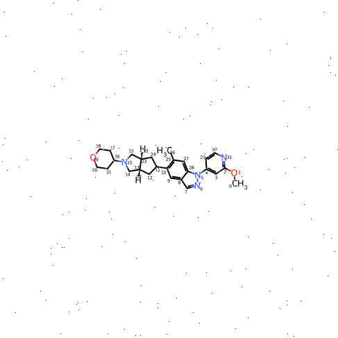 COc1cc(-n2ncc3cc(C4C[C@@H]5CN(C6CCOCC6)C[C@@H]5C4)c(C)cc32)ccn1